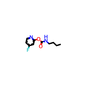 CCCCNC(=O)Oc1cc(F)ccn1